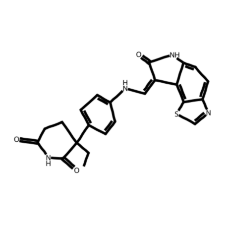 CCC1(c2ccc(NC=C3C(=O)Nc4ccc5ncsc5c43)cc2)CCC(=O)NC1=O